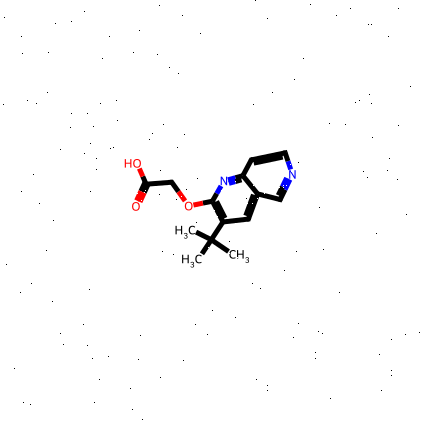 CC(C)(C)c1cc2cnccc2nc1OCC(=O)O